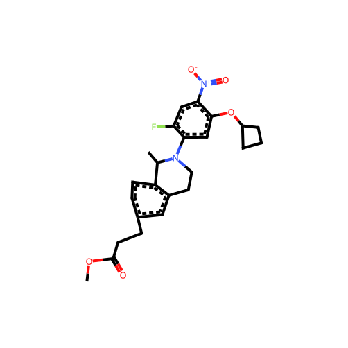 COC(=O)CCc1ccc2c(c1)CCN(c1cc(OC3CCC3)c([N+](=O)[O-])cc1F)C2C